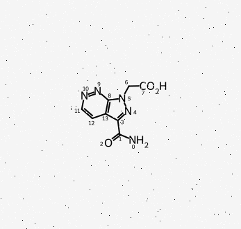 NC(=O)c1nn(CC(=O)O)c2nnccc12